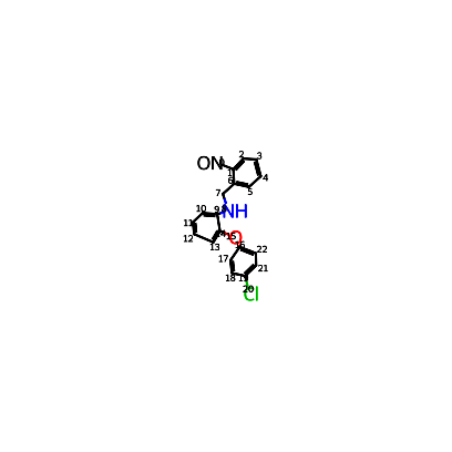 O=Nc1ccccc1CNc1ccccc1Oc1ccc(Cl)cc1